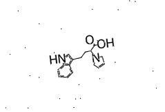 O=C(O)C(CCc1c[nH]c2ccccc12)N1CC=CC1